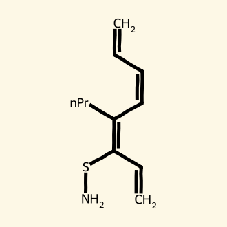 C=C/C=C\C(CCC)=C(/C=C)SN